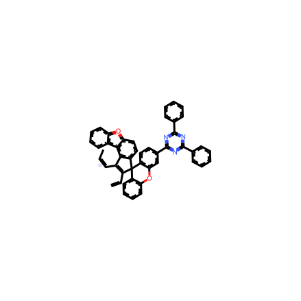 C=CC1=C(/C=C\C)c2c(ccc3oc4ccccc4c23)C12c1ccccc1Oc1cc(-c3nc(-c4ccccc4)nc(-c4ccccc4)n3)ccc12